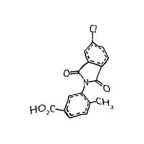 Cc1ccc(C(=O)O)cc1N1C(=O)c2ccc(Cl)cc2C1=O